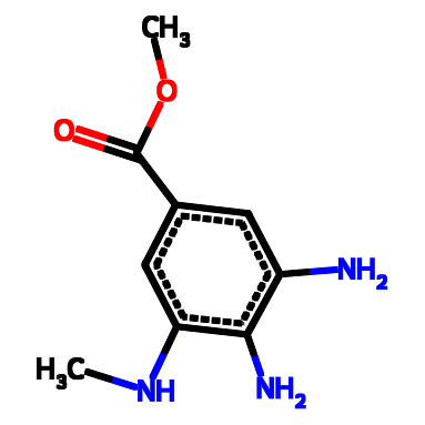 CNc1cc(C(=O)OC)cc(N)c1N